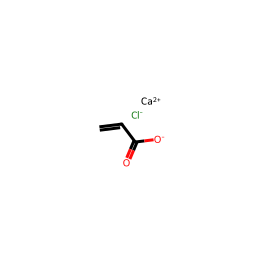 C=CC(=O)[O-].[Ca+2].[Cl-]